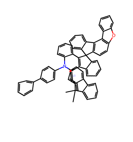 C=C/C=C\C1=C(c2ccccc2N(c2ccc(-c3ccccc3)cc2)c2ccc3c(c2)C(C)(C)c2ccccc2-3)C2(c3ccccc31)c1ccccc1-c1c2ccc2oc3ccccc3c12